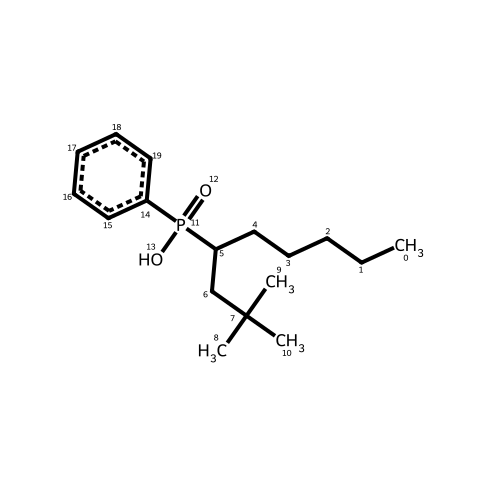 CCCCCC(CC(C)(C)C)P(=O)(O)c1ccccc1